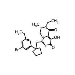 CCc1cc(Br)cc(C2(Cc3nc(=O)c(O)c4n3C[C@H](C)N(CC)C4=O)CCCC2)c1